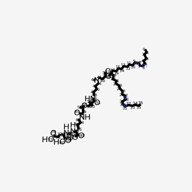 CCCCC/C=C\C/C=C\CCCCCCCCC1(CCCCCCCC/C=C\C/C=C\CCCCC)OCC(CCN(C)CCCCCNC(=O)C(C)(C)COC(C)CC(=O)NCCCC[C@@H](NC(=O)N[C@H](CCC(=O)O)C(=O)O)C(=O)O)O1